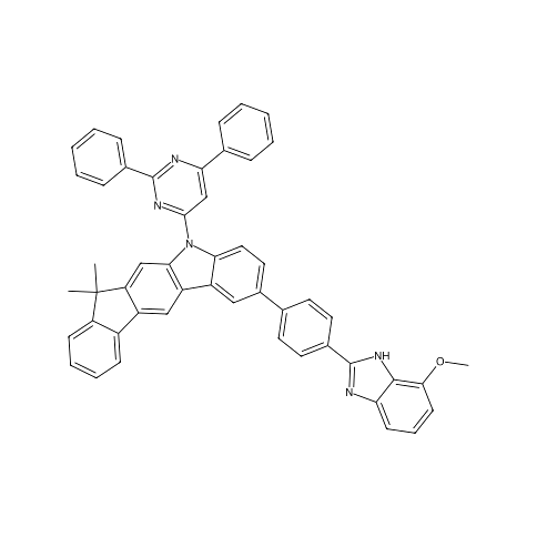 COc1cccc2nc(-c3ccc(-c4ccc5c(c4)c4cc6c(cc4n5-c4cc(-c5ccccc5)nc(-c5ccccc5)n4)C(C)(C)c4ccccc4-6)cc3)[nH]c12